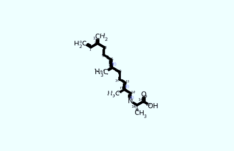 C=CC(=C)CC/C=C(\C)CC/C=C(C)/C=N/[C@@H](C)C(=O)O